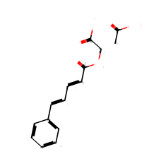 O=C(O)C[C@H](OC(=O)/C=C/C=C/c1ccccc1)C(=O)O